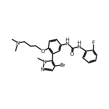 CN(C)CCCOc1ccc(NC(=O)Nc2ccccc2F)cc1-c1c(Br)cnn1C